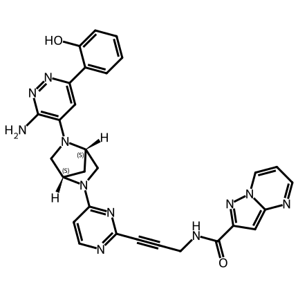 Nc1nnc(-c2ccccc2O)cc1N1C[C@@H]2C[C@H]1CN2c1ccnc(C#CCNC(=O)c2cc3ncccn3n2)n1